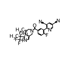 C[C@H]1CN(C(=O)c2ccc(F)c(-c3ncc(C#N)cc3C#N)c2)Cc2cnc(C(C)(O)C(F)(F)F)n21